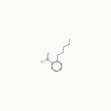 CCCCCc1ccccc1[N+](=O)[O-]